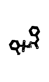 O=C(Cc1ccccc1)ONS(=O)(=O)c1ccccc1Br